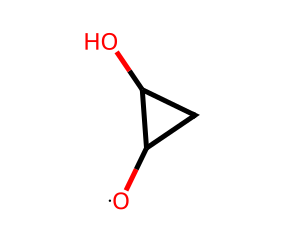 [O]C1CC1O